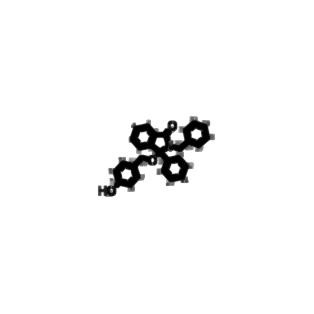 O=C1c2ccccc2C(OCc2ccc(O)cc2)(c2ccccc2)N1Cc1ccccc1